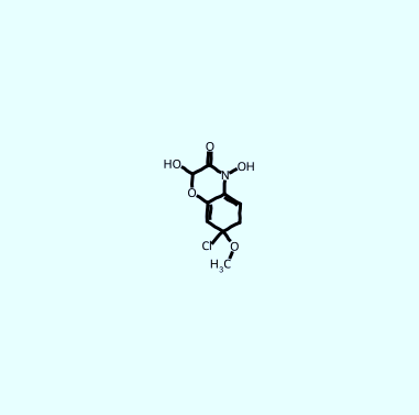 COC1(Cl)C=C2OC(O)C(=O)N(O)C2=CC1